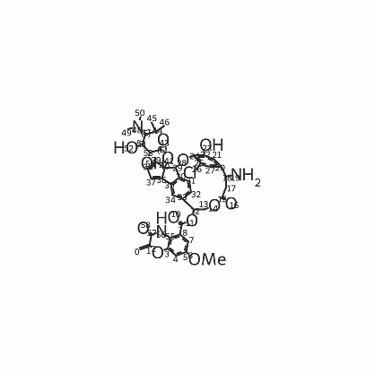 C=C1Oc2cc(OC)cc(C(=O)OC3COC(=O)CC(N)c4cc(O)c(c(Cl)c4)OC4c5ccc3cc5C3=CC=CC34O[C@@H]3OC(C)(C)[C@@H](N(C)C)[C@H](O)C3O)c2NC1=O